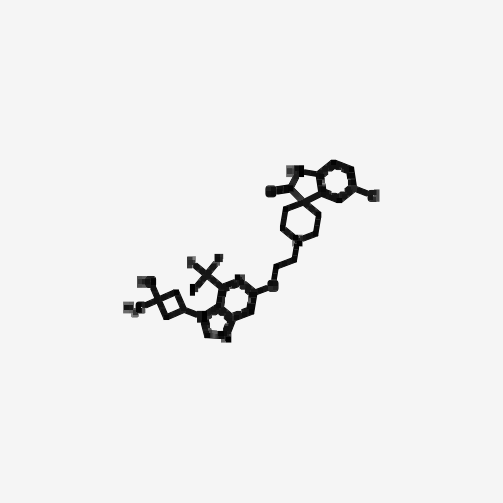 CC1(O)CC(n2cnc3cc(OCCN4CCC5(CC4)C(=O)Nc4ccc(Cl)cc45)nc(C(F)(F)F)c32)C1